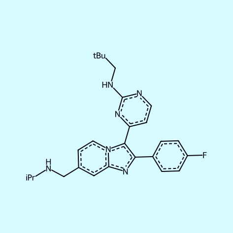 CC(C)NCc1ccn2c(-c3ccnc(NCC(C)(C)C)n3)c(-c3ccc(F)cc3)nc2c1